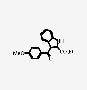 CCOC(=O)C1Nc2ccccc2C1C(=O)c1ccc(OC)cc1